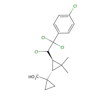 CC1(C)[C@H](C(Cl)C(Cl)(Cl)c2ccc(Cl)cc2)[C@H]1C1(C(=O)O)CC1